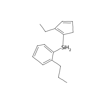 CCCc1ccccc1[SiH2]C1=C(CC)C=CC1